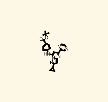 CC(C)(C)OC(=O)c1ccc(Nc2cc(-c3cnccn3)nc3cc(C4CC4)nn23)cc1